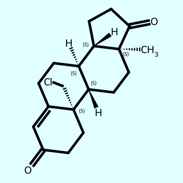 C[C@]12CC[C@H]3[C@@H](CCC4=CC(=O)CC[C@@]43CCl)[C@@H]1CCC2=O